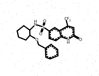 O=c1cc(C(F)(F)F)c2cc(S(=O)(=O)NC3CCCCC3OCc3ccccc3)ccc2[nH]1